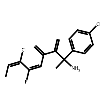 C=C(/C=C(F)\C(Cl)=C/C)C(=C)C(C)(N)c1ccc(Cl)cc1